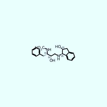 O=C(O)N[C@@H](Cc1ccccc1)[C@@H](O)CN[C@@H]1c2ccccc2C[C@@H]1O